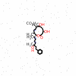 C/C(=C\C=C\[C@](C)(O)CCc1ccccc1)[C@H]1OC(=O)C[C@H](O)CC[C@@](C)(O)[C@@H](CC(=O)O)/C=C/[C@@H]1C